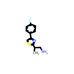 CC(CN)c1nc(-c2ccc(F)cc2)cs1